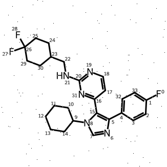 Fc1ccc(-c2ncn(C3CCCCC3)c2-c2ccnc(NCC3CCC(F)(F)CC3)n2)cc1